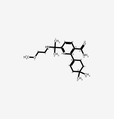 COCCNC(C)(C)c1ccc(C(N)=O)c(C2=CCC(C)(C)CC2)n1